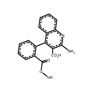 CCCOC(=O)c1ccccc1-c1c(C(=O)O)c(N)nc2ccccc12